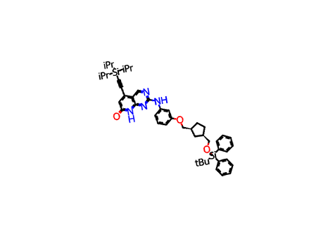 CC(C)[Si](C#Cc1cc(=O)[nH]c2nc(Nc3cccc(OC[C@H]4CC[C@@H](CO[Si](c5ccccc5)(c5ccccc5)C(C)(C)C)C4)c3)ncc12)(C(C)C)C(C)C